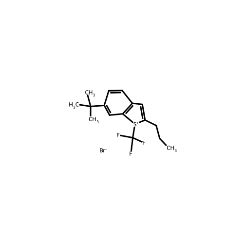 CCCc1cc2ccc(C(C)(C)C)cc2[s+]1C(F)(F)F.[Br-]